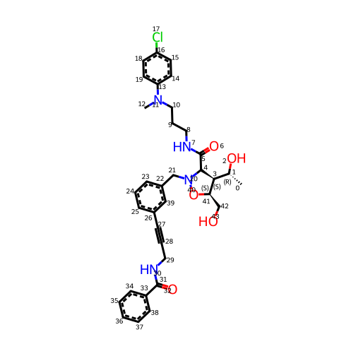 C[C@@H](O)[C@@H]1C(C(=O)NCCCN(C)c2ccc(Cl)cc2)N(Cc2cccc(C#CCNC(=O)c3ccccc3)c2)O[C@@H]1CO